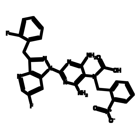 Nc1nc(-n2nc(Cc3ccccc3F)c3ncc(F)cc32)nc(N)c1N(Cc1ccccc1[N+](=O)[O-])C(=O)O